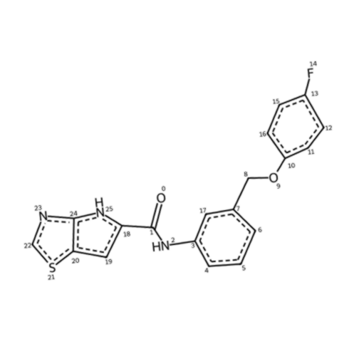 O=C(Nc1cccc(COc2ccc(F)cc2)c1)c1cc2scnc2[nH]1